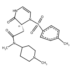 Cc1ccc(S(=O)(=O)N2C=CNC(=O)[C@H]2CC(=O)N(C)C2CCN(C)CC2)cc1